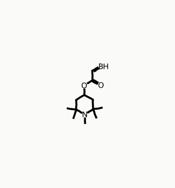 B=CC(=O)OC1CC(C)(C)N(C)C(C)(C)C1